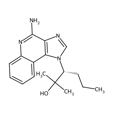 CCC[C@@H](n1cnc2c(N)nc3ccccc3c21)C(C)(C)O